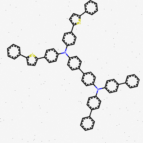 c1ccc(-c2ccc(N(c3ccc(-c4ccccc4)cc3)c3ccc(-c4ccc(N(c5ccc(-c6ccc(-c7ccccc7)s6)cc5)c5ccc(-c6ccc(-c7ccccc7)s6)cc5)cc4)cc3)cc2)cc1